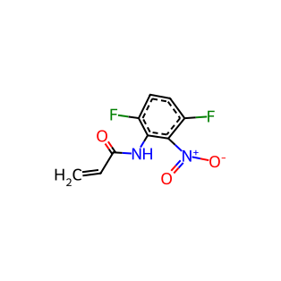 C=CC(=O)Nc1c(F)ccc(F)c1[N+](=O)[O-]